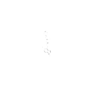 CO[C@@H](CC(=O)CCC1=C2C=CC(=O)[C@@]2(C)C=CC1=O)CC1(C)OCC(C)(C)CO1